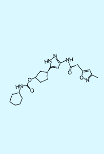 Cc1cc(CC(=O)Nc2cc([C@H]3CCC(OC(=O)NC4CCCCC4)C3)[nH]n2)on1